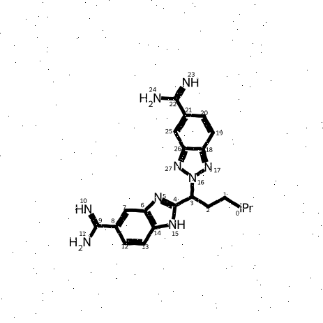 CC(C)CCC(c1nc2cc(C(=N)N)ccc2[nH]1)n1nc2ccc(C(=N)N)cc2n1